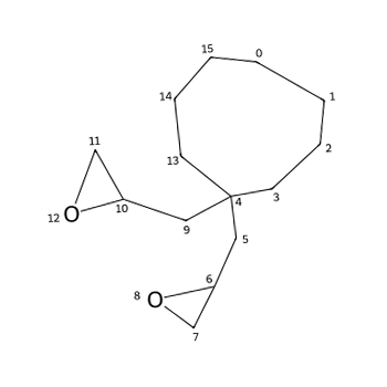 C1CCCC(CC2CO2)(CC2CO2)CCC1